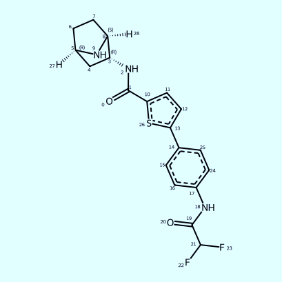 O=C(N[C@@H]1C[C@H]2CC[C@@H]1N2)c1ccc(-c2ccc(NC(=O)C(F)F)cc2)s1